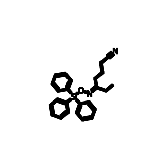 CCC(CCCC#N)=NO[Si](c1ccccc1)(c1ccccc1)c1ccccc1